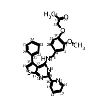 COc1cc(CNc2nc(-c3ccccn3)nc3scc(-c4ccccc4)c23)ccc1OCC(C)=O